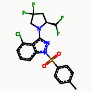 Cc1ccc(S(=O)(=O)n2nc(N3CC(F)(F)C[C@H]3C(F)F)c3c(Cl)cccc32)cc1